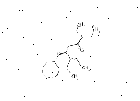 CCC(CC)C(=O)CC(=NC1CCCCC1)C(CC)CC